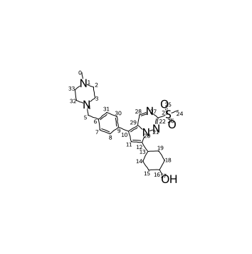 CN1CCN(Cc2ccc(-c3cc(C4CCC(O)CC4)n4nc(S(C)(=O)=O)ncc34)cc2)CC1